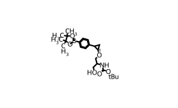 CC(C)(C)OC(=O)NC(CO)CO[C@@H]1CC1c1ccc(B2OC(C)(C)C(C)(C)O2)cc1